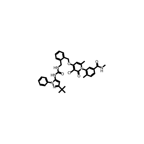 CNC(=O)c1ccc(C)c(-n2c(C)cc(OCc3ccccc3CNC(=O)Nc3cc(C(C)(C)C)nn3-c3ccccc3)c(Cl)c2=O)c1